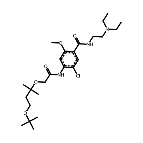 CCN(CC)CCNC(=O)c1cc(Cl)c(NC(=O)COC(C)(C)CCOC(C)(C)C)cc1OC